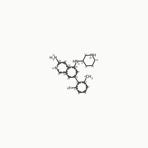 Cc1cccc(F)c1-c1cc(NC2CCCNC2)c2cc(N)ncc2c1